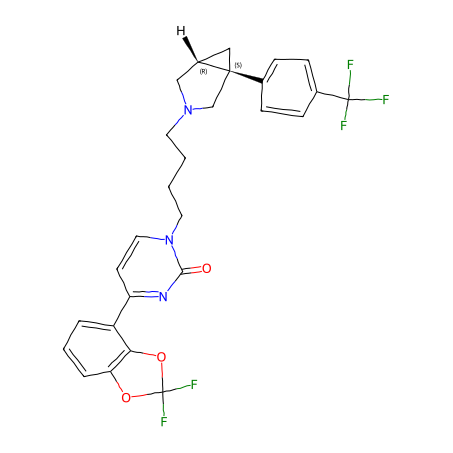 O=c1nc(-c2cccc3c2OC(F)(F)O3)ccn1CCCCN1C[C@@H]2C[C@]2(c2ccc(C(F)(F)F)cc2)C1